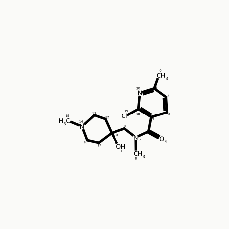 Cc1ccc(C(=O)N(C)CC2(O)CCN(C)CC2)c(Cl)n1